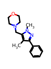 Cc1c(-c2ccccc2)nn(C)c1CN1CCOCC1